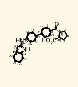 O=C(O)[C@@H]1CCC[C@H]1C(=O)c1ccc(-c2ccc(Nc3nc4ccccc4[nH]3)cc2)cc1